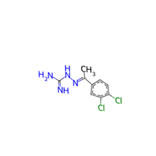 CC(=NNC(=N)N)c1ccc(Cl)c(Cl)c1